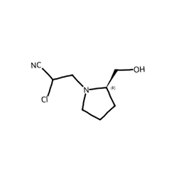 N#CC(Cl)CN1CCC[C@@H]1CO